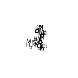 CCN1C(=O)[C]CC(C(N)=O)c2c1ccc(Nc1ncc(Cl)c(Nc3ccccc3S(=O)(=O)N(C)C)n1)c2OC